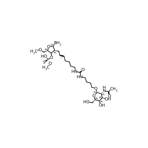 B[C@@H]1O[C@H](COC)C(OP(O)(=S)OC)[C@@H]1C/C=C/CCCCNC(=O)NCCCCO[C@@H]1O[C@H](CO)[C@H](O)[C@H](O)[C@H]1NC(C)=O